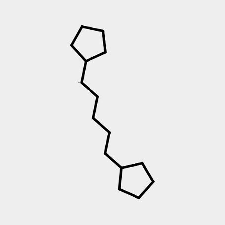 [CH](CCCCC1CCCC1)C1CCCC1